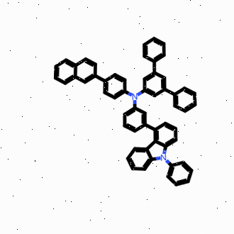 c1ccc(-c2cc(-c3ccccc3)cc(N(c3ccc(-c4ccc5ccccc5c4)cc3)c3cccc(-c4cccc5c4c4ccccc4n5-c4ccccc4)c3)c2)cc1